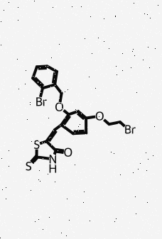 O=C1NC(=S)SC1=Cc1ccc(OCCBr)cc1OCc1ccccc1Br